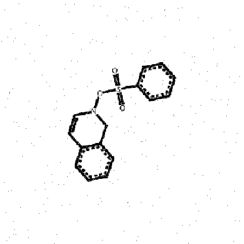 O=S(=O)(ON1C=Cc2ccccc2C1)c1ccccc1